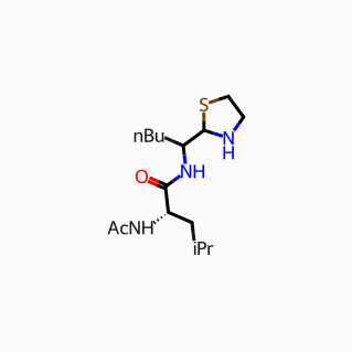 CCCCC(NC(=O)[C@H](CC(C)C)NC(C)=O)C1NCCS1